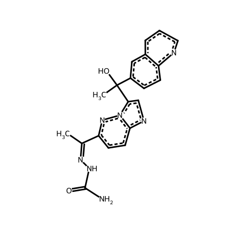 C/C(=N/NC(N)=O)c1ccc2ncc(C(C)(O)c3ccc4ncccc4c3)n2n1